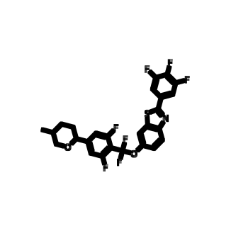 CC1CCC(c2cc(F)c(C(F)(F)Oc3ccc4nc(-c5cc(F)c(F)c(F)c5)sc4c3)c(F)c2)OC1